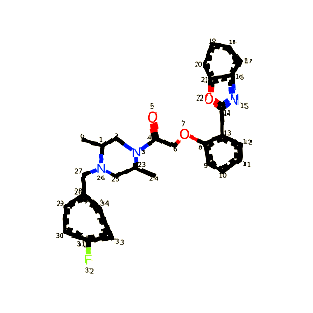 CC1CN(C(=O)COc2ccccc2-c2nc3ccccc3o2)C(C)CN1Cc1ccc(F)cc1